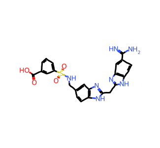 N=C(N)c1ccc2[nH]c(Cc3nc4cc(CNS(=O)(=O)c5cccc(C(=O)O)c5)ccc4[nH]3)nc2c1